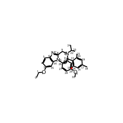 CCOc1ccc2nc(CN(C(=O)c3c(C)cc(C)cc3C)C(C)C)n(-c3ccc(OC)cc3)c2c1